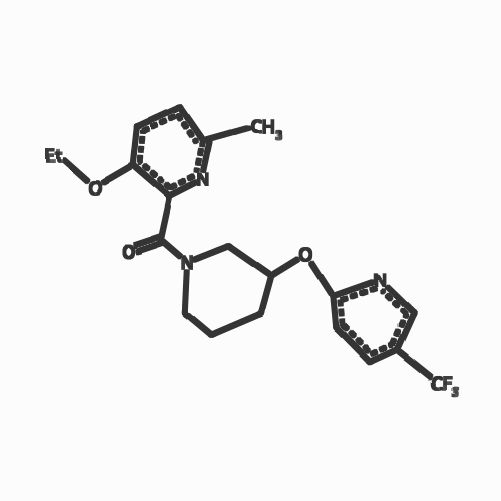 CCOc1ccc(C)nc1C(=O)N1CCCC(Oc2ccc(C(F)(F)F)cn2)C1